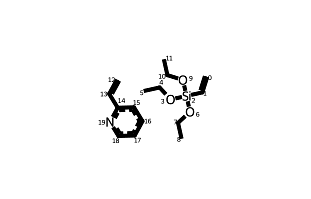 C=C[Si](OCC)(OCC)OCC.C=Cc1ccccn1